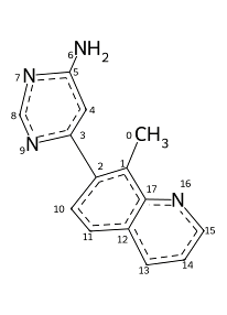 Cc1c(-c2cc(N)ncn2)ccc2cccnc12